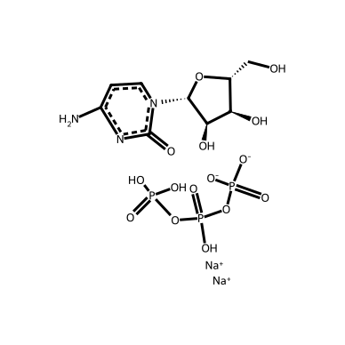 Nc1ccn([C@@H]2O[C@H](CO)[C@@H](O)[C@H]2O)c(=O)n1.O=P([O-])([O-])OP(=O)(O)OP(=O)(O)O.[Na+].[Na+]